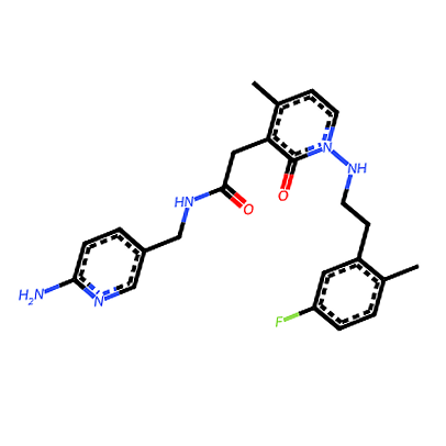 Cc1ccc(F)cc1CCNn1ccc(C)c(CC(=O)NCc2ccc(N)nc2)c1=O